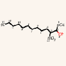 CCCCCCCCC(O)C(CCCCCCCCCC=O)[N+](=O)[O-]